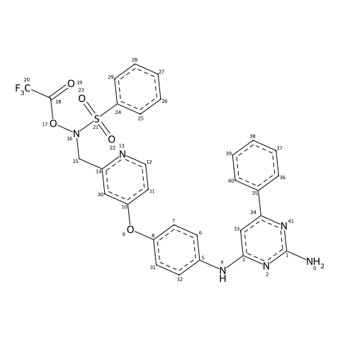 Nc1nc(Nc2ccc(Oc3ccnc(CN(OC(=O)C(F)(F)F)S(=O)(=O)c4ccccc4)c3)cc2)cc(-c2ccccc2)n1